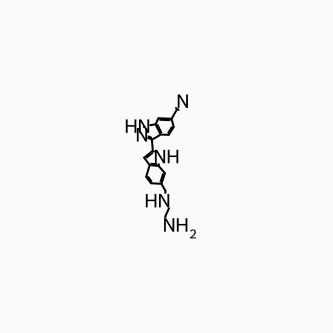 N#Cc1ccc2c(-c3cc4ccc(CNCCN)cc4[nH]3)n[nH]c2c1